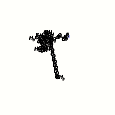 CCC1(O)C(=O)OCc2c1cc1n(c2=O)Cc2c-1nc1cc(F)c(C)c3c1c2C(NC(=O)OCc1ccc(OC2OC(C(=O)O)C(O)C(O)C2O)c(CNC(=O)CCNC(=O)C(CNC(=O)CCOCCOCCOCCOCCOCCOCCOCCOCCOCCOCCOCCOC)NC(=O)C2CCC4(CC2)CCN(C(=O)CCCCC(=O)N2Cc5ccccc5/C=C\c5ccccc52)CC4)c1)CC3